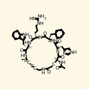 CC(=O)N[C@H]1CCC(=O)NCCCC[C@@H](C)NC(=O)[C@H](Cc2c[nH]c3ccccc23)NC(=O)[C@H](CCCNC(=N)N)NC(=O)[C@@H](Cc2ccccc2)NC(=O)[C@H](Cc2c[nH]cn2)NC1=O